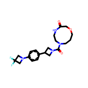 O=C1COCCCN(C(=O)N2CC(c3ccc(N4CC(F)(F)C4)cc3)C2)CCN1